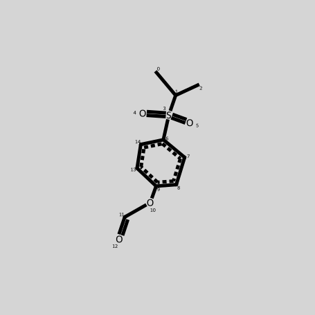 CC(C)S(=O)(=O)c1ccc(OC=O)cc1